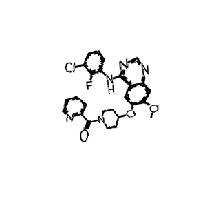 COc1cc2ncnc(Nc3cccc(Cl)c3F)c2cc1OC1CCN(C(=O)c2ccccn2)CC1